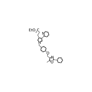 CCOC(=O)CCc1cn(Cc2ccc(OCc3nc(-c4ccccc4)oc3C)cc2)cc1-c1ccccn1